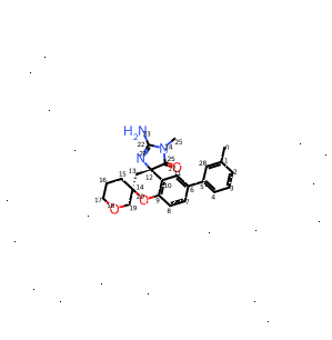 Cc1cccc(-c2ccc3c(c2)[C@]2(C[C@]4(CCCOC4)O3)N=C(N)N(C)C2=O)c1